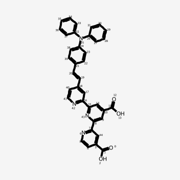 O=C(O)c1ccnc(-c2cc(C(=O)O)cc(-c3cc(/C=C/c4ccc(N(c5ccccc5)c5ccccc5)cc4)ccn3)n2)c1